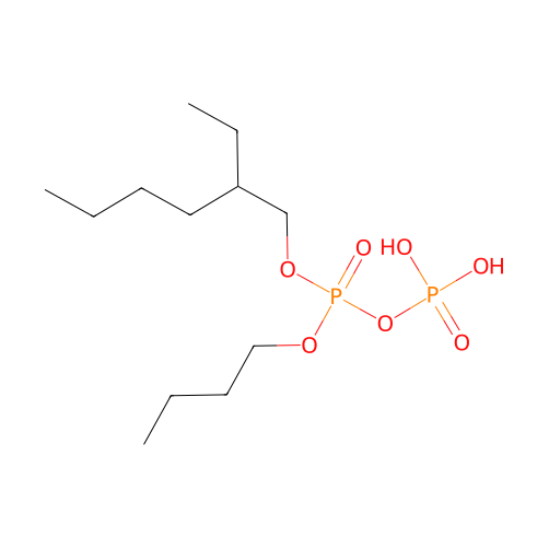 CCCCOP(=O)(OCC(CC)CCCC)OP(=O)(O)O